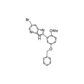 COc1ccc(OCc2ccccc2)cc1-c1nc2cc(Br)cnc2[nH]1